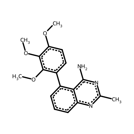 COc1ccc(-c2cccc3nc(C)nc(N)c23)c(OC)c1OC